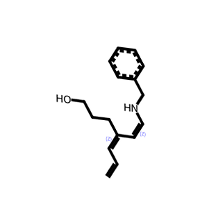 C=C/C=C(\C=C/NCc1ccccc1)CCCO